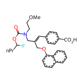 CCCC(F)OC(=O)N(CCOC)CC(=Cc1ccc(C(=O)O)cc1)COc1cccc2ccccc12